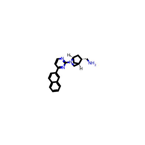 NC[C@H]1C[C@H]2C[C@@H]1CN2c1nccc(-c2ccc3ccccc3c2)n1